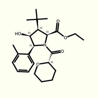 CCOC(=O)[C@@H]1[C@H](C(C)(C)C)[C@H](O)[C@H](c2ccccc2C)N1C(=O)[C@@H]1CCCCO1